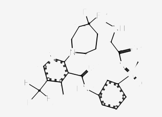 CNCC(=O)N=[S@](C)(=O)c1cccc(NC(=O)c2c(N3CCCC(F)(F)CC3)ncc(C(F)(F)F)c2C)c1